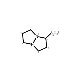 O=C(O)C1CCN2CCCN12